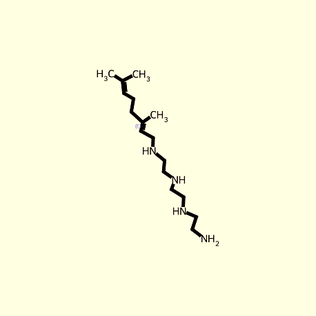 CC(C)=CCC/C(C)=C/CNCCNCCNCCN